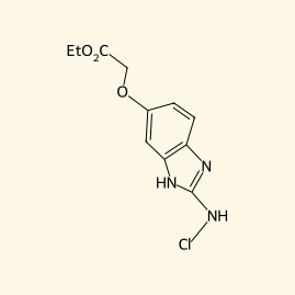 CCOC(=O)COc1ccc2nc(NCl)[nH]c2c1